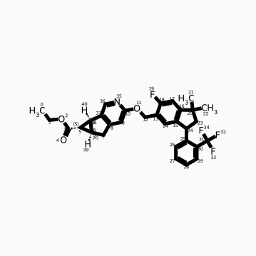 CCOC(=O)[C@H]1[C@@H]2Cc3cc(OCc4cc5c(cc4F)C(C)(C)CC5c4ccccc4C(F)(F)F)ncc3[C@@H]21